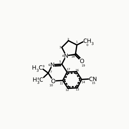 CC1CCN(C2=NC(C)(C)Oc3ccc(C#N)cc32)C1=O